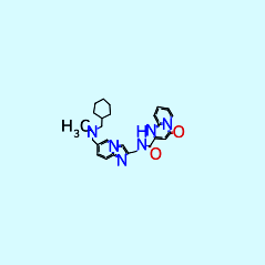 CN(Cc1ccc2nc(CNC(=O)c3cc(=O)n4ccccc4n3)cn2c1)CC1CCCCC1